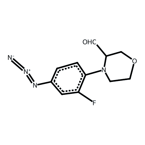 [N-]=[N+]=Nc1ccc(N2CCOCC2C=O)c(F)c1